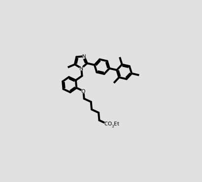 CCOC(=O)CCCCCOc1ccccc1Cn1c(C)cnc1-c1ccc(-c2c(C)cc(C)cc2C)cc1